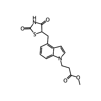 COC(=O)CCn1ccc2c(CC3SC(=O)NC3=O)cccc21